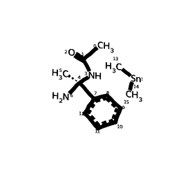 CC(=O)N[C@](C)(N)c1ccccc1.[CH3][Sn][CH3]